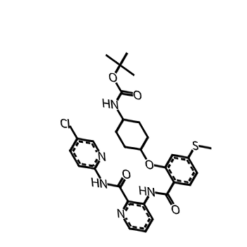 CSc1ccc(C(=O)Nc2cccnc2C(=O)Nc2ccc(Cl)cn2)c(OC2CCC(NC(=O)OC(C)(C)C)CC2)c1